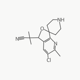 Cc1nc2c(cc1Cl)C(C(C)(C)C#N)OC21CCNCC1